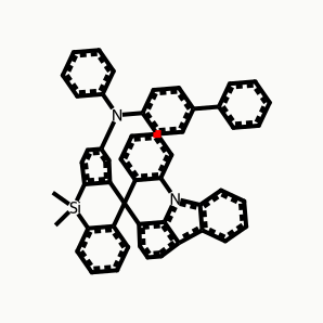 C[Si]1(C)c2ccccc2C2(c3ccccc3-n3c4ccccc4c4cccc2c43)c2cc(N(c3ccccc3)c3ccc(-c4ccccc4)cc3)ccc21